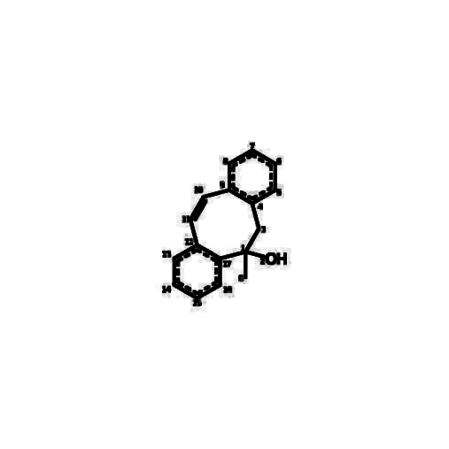 CC1(O)Cc2ccccc2C=Cc2ccccc21